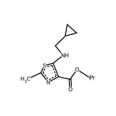 Cc1nc(C(=O)OC(C)C)c(NCC2CC2)s1